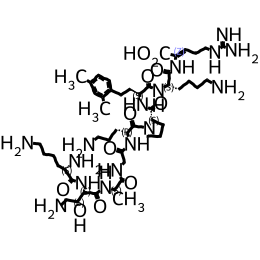 Cc1ccc(CC[C@H](NC(=O)[C@@H]2CCCN2C(=O)[C@@H](CCCN)NC(=O)CNC(=O)[C@H](C)NC(=O)[C@@H](NC(=O)[C@@H](N)CCCCN)[C@@H](O)CN)C(=O)N[C@@H](CCCCN)C(=O)N/C(=C\CCNC(=N)N)C(=O)O)c(C)c1